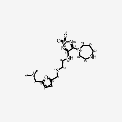 CN(C)Cc1ccc(CSCCNC2=NS(=O)(=O)N=C2N2CCCNCC2)o1